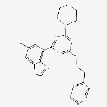 Fc1cc(-c2nc(NCCc3cccnc3)nc(N3CCOCC3)n2)c2nc[nH]c2c1